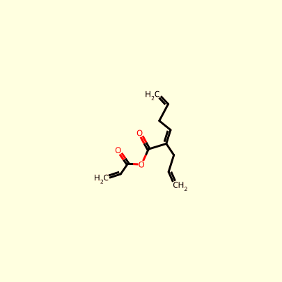 C=CCC=C(CC=C)C(=O)OC(=O)C=C